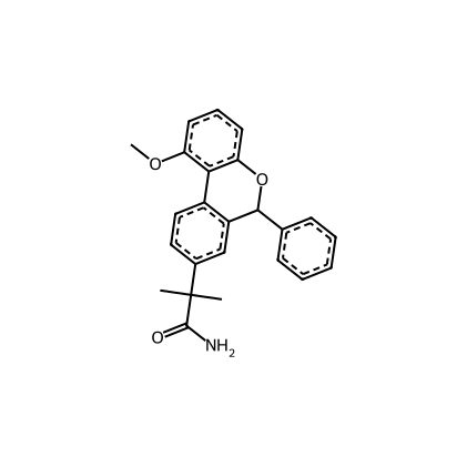 COc1cccc2c1-c1ccc(C(C)(C)C(N)=O)cc1C(c1ccccc1)O2